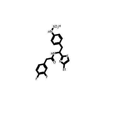 CCc1csc(C(Cc2[c]cc(NS(=O)(=O)O)cc2)NC(=O)Cc2ccc(F)c(F)c2)n1